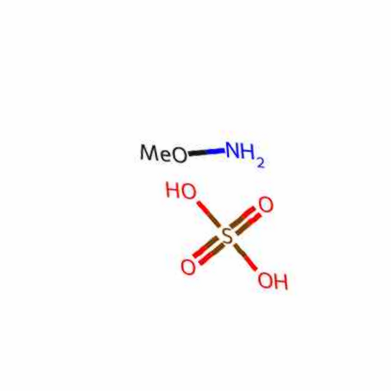 CON.O=S(=O)(O)O